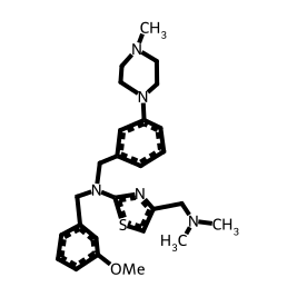 COc1cccc(CN(Cc2cccc(N3CCN(C)CC3)c2)c2nc(CN(C)C)cs2)c1